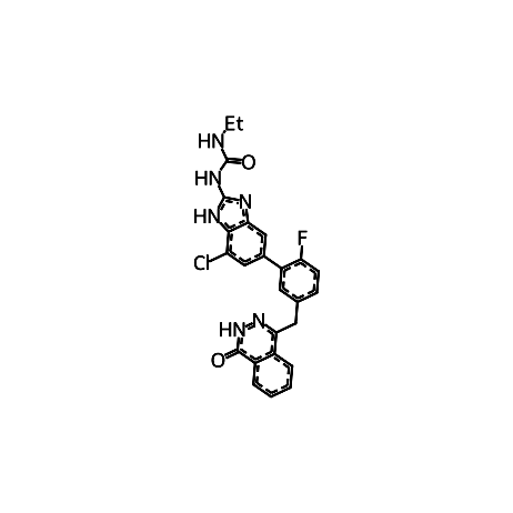 CCNC(=O)Nc1nc2cc(-c3cc(Cc4n[nH]c(=O)c5ccccc45)ccc3F)cc(Cl)c2[nH]1